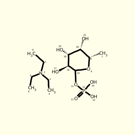 CCN(CC)CC.C[C@@H]1OC(OP(=O)(O)O)[C@@H](O)[C@H](O)[C@@H]1O